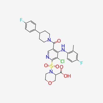 Cc1cc(F)ccc1Nc1c(C(=O)N2CCC(c3ccc(F)cc3)CC2)cnc(S(=O)(=O)N2CCOCC2C(=O)O)c1Cl